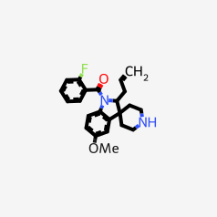 C=CCC1N(C(=O)c2ccccc2F)c2ccc(OC)cc2C12CCNCC2